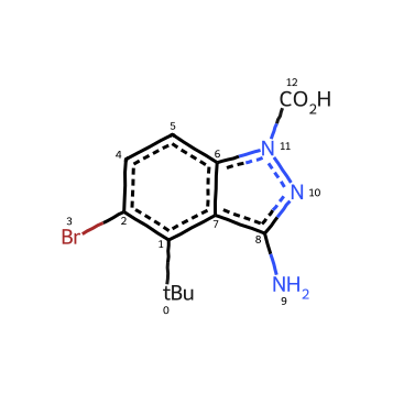 CC(C)(C)c1c(Br)ccc2c1c(N)nn2C(=O)O